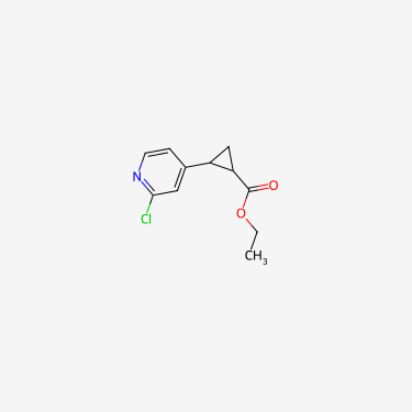 CCOC(=O)C1CC1c1ccnc(Cl)c1